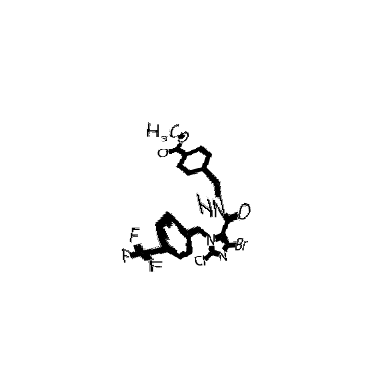 COC(=O)C1CCC(CNC(=O)c2c(Br)nc(Cl)n2Cc2ccc(C(F)(F)F)cc2)CC1